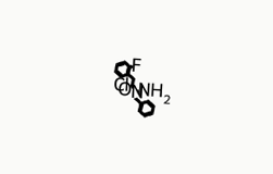 NN(Cc1ccccc1)C(=O)Cc1c(F)cccc1Cl